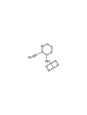 C#Cc1ncccc1N.c1cc2ccc1-2